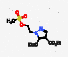 CCOC(=O)c1cnn(CCOS(C)(=O)=O)c1OCC(C)C